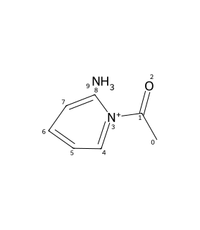 CC(=O)[n+]1ccccc1.N